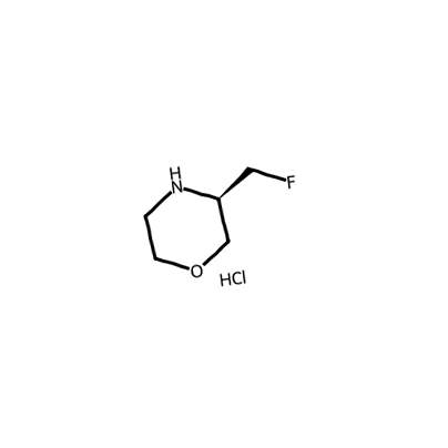 Cl.FC[C@H]1COCCN1